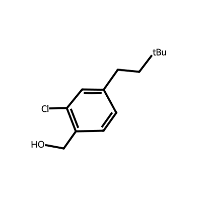 CC(C)(C)CCc1ccc(CO)c(Cl)c1